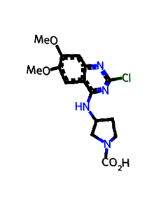 COc1cc2nc(Cl)nc(NC3CCN(C(=O)O)C3)c2cc1OC